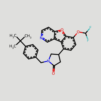 CC(C)(C)c1ccc(CN2CC(c3ccc(OC(F)F)c4oc5ccncc5c34)CC2=O)cc1